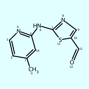 Cc1ccnc(Nc2ncc(C=O)s2)c1